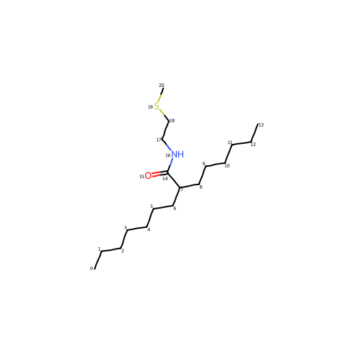 CCCCCCCC(CCCCCC)C(=O)NCCSC